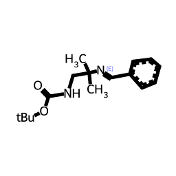 CC(C)(CNC(=O)OC(C)(C)C)/N=C/c1ccccc1